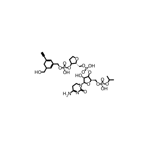 C#CC1=CC(COP(=O)(O)OC2CCO[C@@H]2COP(=O)(O)OC2[C@@H](COP(=O)(O)OC(C)C)O[C@@H](N3CCC(N)=NC3=O)[C@H]2O)=CC(CO)C1